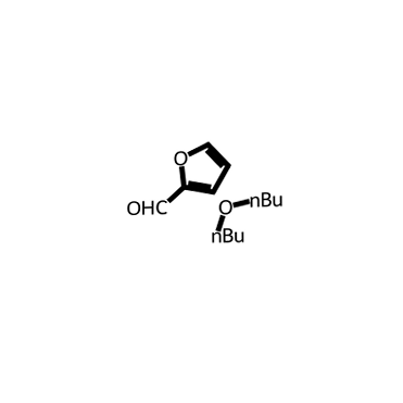 CCCCOCCCC.O=Cc1ccco1